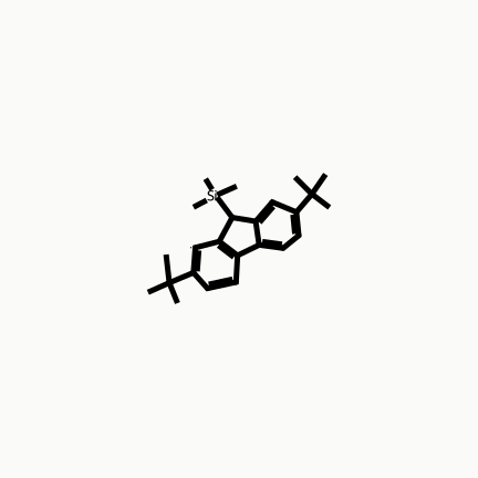 CC(C)(C)c1[c]c2c(cc1)-c1ccc(C(C)(C)C)cc1C2[Si](C)(C)C